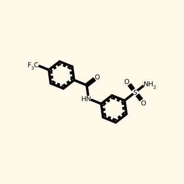 NS(=O)(=O)c1cccc(NC(=O)c2ccc(C(F)(F)F)cc2)c1